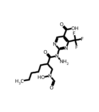 CCCCCC(CN(O)C=O)C(=O)N(N)c1ncc(C(=O)O)c(C(F)(F)F)n1